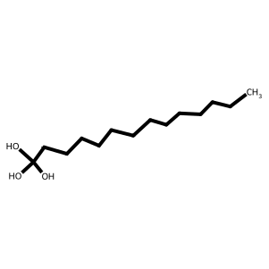 CCCCCCCCCCCC[CH]C(O)(O)O